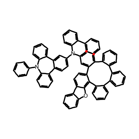 c1ccc(-c2ccccc2N(c2ccc3c(c2)-c2ccccc2N(c2ccccc2)c2ccccc2-3)c2ccc3c4ccccc4c4ccccc4c4ccccc4c4c(ccc5c6ccccc6oc54)c3c2)cc1